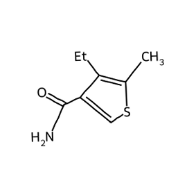 CCc1c(C(N)=O)csc1C